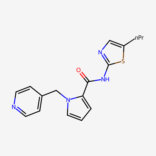 CCCc1cnc(NC(=O)c2cccn2Cc2ccncc2)s1